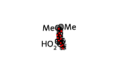 COc1ccc(-c2ccc(/C=C3\SC(=S)N([C@@H](Cc4ccccc4)C(=O)O)C3=O)cn2)cc1OC